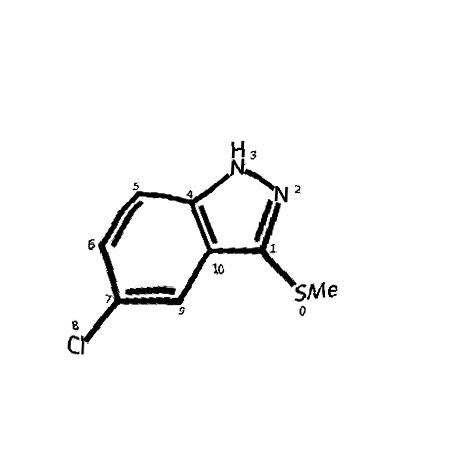 CSc1n[nH]c2ccc(Cl)cc12